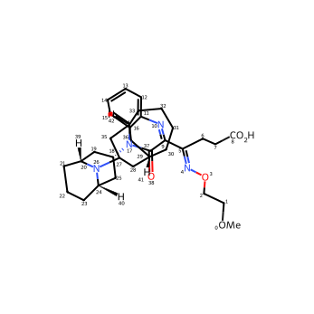 COCCO/N=C(\CCC(=O)O)c1nc2ccccc2n([C@H]2C[C@H]3CCC[C@@H](C2)N3C2C[C@H]3CCCC[C@@H](C2)C3)c1=O